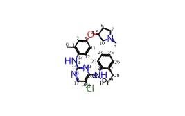 Cc1cc(OC2CCN(C)C2)ccc1Nc1ncc(Cl)c(Nc2ccccc2CC(C)C)n1